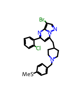 CSc1ccc(CN2CCC(Cc3cc(-c4ccccc4Cl)nc4c(Br)cnn34)CC2)cc1